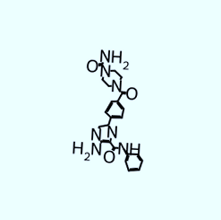 NC(=O)N1CCN(C(=O)c2ccc(-c3cnc(N)c(C(=O)Nc4ccccc4)n3)cc2)CC1